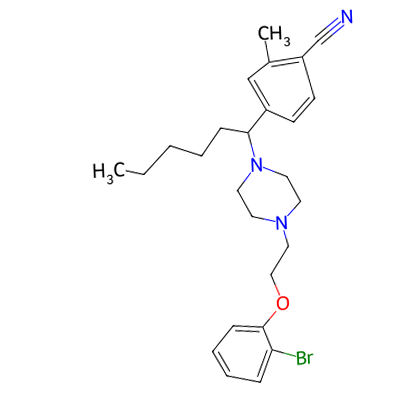 CCCCCC(c1ccc(C#N)c(C)c1)N1CCN(CCOc2ccccc2Br)CC1